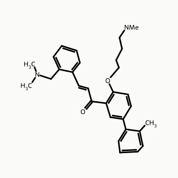 CNCCCCOc1ccc(-c2ccccc2C)cc1C(=O)/C=C/c1ccccc1CN(C)C